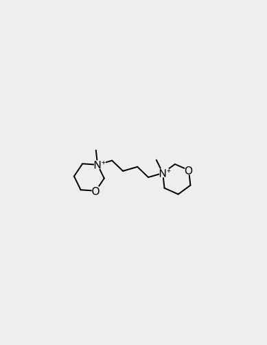 C[N+]1(CCCC[N+]2(C)CCCOC2)CCCOC1